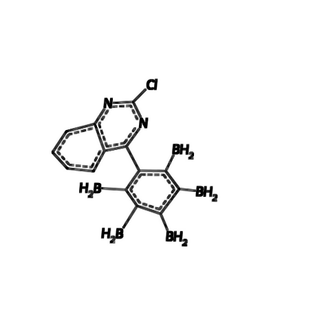 Bc1c(B)c(B)c(-c2nc(Cl)nc3ccccc23)c(B)c1B